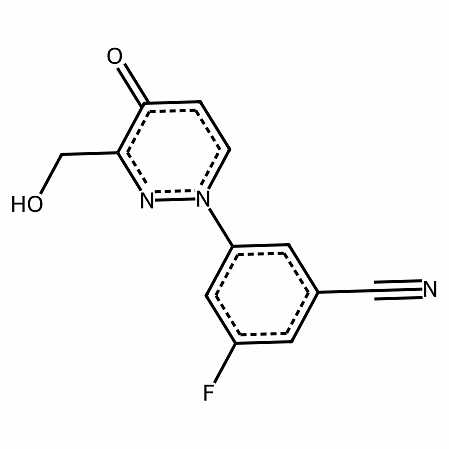 N#Cc1cc(F)cc(-n2ccc(=O)c(CO)n2)c1